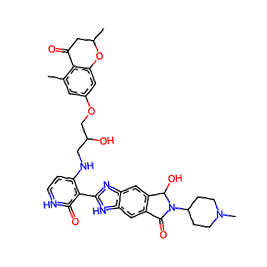 Cc1cc(OCC(O)CNc2cc[nH]c(=O)c2-c2nc3cc4c(cc3[nH]2)C(=O)N(C2CCN(C)CC2)C4O)cc2c1C(=O)CC(C)O2